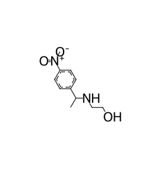 CC(NCCO)c1ccc([N+](=O)[O-])cc1